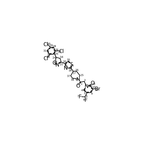 O=C(Cn1cc(C(F)F)cc(Br)c1=O)N1CCC(c2nc(C3=NOC(c4c(Cl)cc(Cl)cc4Cl)C3)cs2)CC1